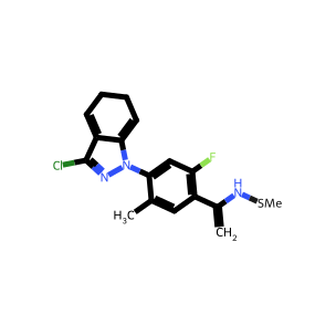 C=C(NSC)c1cc(C)c(-n2nc(Cl)c3c2=CCCC=3)cc1F